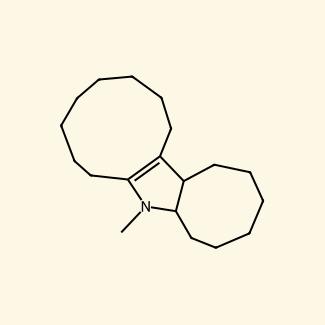 CN1C2=C(CCCCCCCC2)C2CCCCCCC21